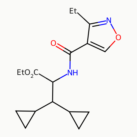 CCOC(=O)C(NC(=O)c1conc1CC)C(C1CC1)C1CC1